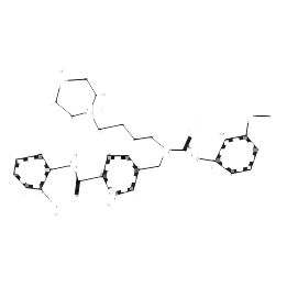 CCOc1cccc(NC(=O)N(CCCCN2CCOCC2)Cc2ccc(C(=O)Nc3ccccc3N)nc2)c1